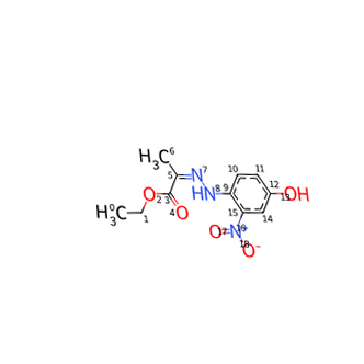 CCOC(=O)/C(C)=N\Nc1ccc(O)cc1[N+](=O)[O-]